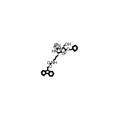 CC(C)(C)OC(=O)N[C@@H](CCCCNC(=O)OCC1c2ccccc2-c2ccccc21)C(=O)N[C@@H](CO)C(=O)OCc1ccccc1